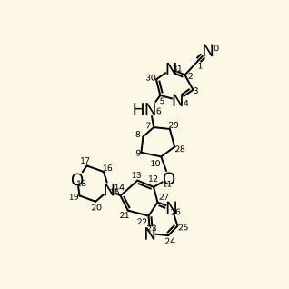 N#Cc1cnc(NC2CCC(Oc3cc(N4CCOCC4)cc4nccnc34)CC2)cn1